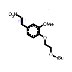 CCCCOCCOc1ccc(/C=C/[N+](=O)[O-])cc1OC